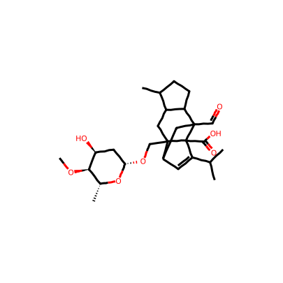 CO[C@H]1[C@@H](O)C[C@H](OCC23CC4C(C)CCC4C4(C=O)CC2C=C(C(C)C)C43C(=O)O)O[C@@H]1C